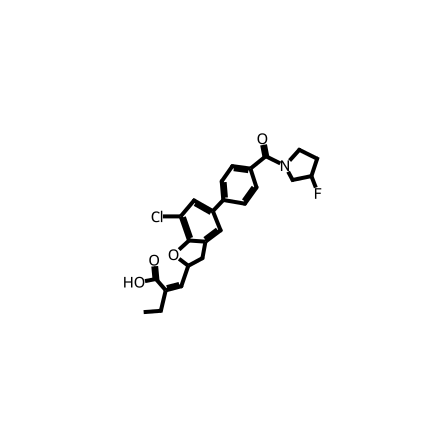 CCC(=CC1Cc2cc(-c3ccc(C(=O)N4CCC(F)C4)cc3)cc(Cl)c2O1)C(=O)O